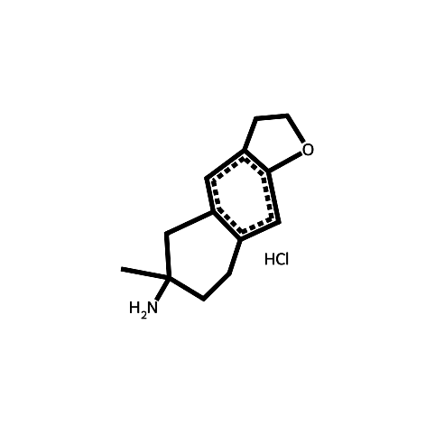 CC1(N)CCc2cc3c(cc2C1)CCO3.Cl